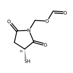 O=COCN1C(=O)C[C@@H](S)C1=O